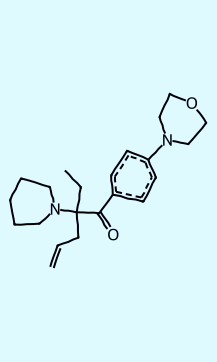 C=CCC(CC)(C(=O)c1ccc(N2CCOCC2)cc1)N1CCCCC1